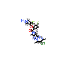 Cc1nc2c3c(nn2c(C)c1Cl)CN(C(=O)c1ccc(F)cc1O[C@@H]1CNC[C@H]1F)C3